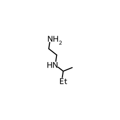 CCC(C)NCCN